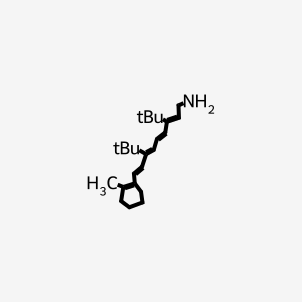 CC1=C(/C=C/C(=C/C=C/C(=C/CN)C(C)(C)C)C(C)(C)C)CCCC1